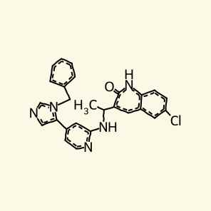 CC(Nc1cc(-c2cncn2Cc2ccccc2)ccn1)c1cc2cc(Cl)ccc2[nH]c1=O